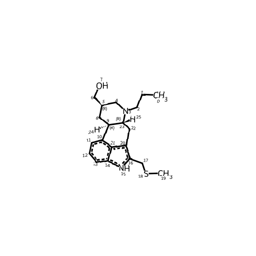 CCCN1C[C@H](CO)C[C@@H]2c3cccc4[nH]c(CSC)c(c34)C[C@H]21